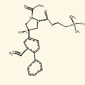 C=Cc1cc([C@]2(O)C[C@@H](C(=O)OC)N(C(=O)OCC[Si](C)(C)C)C2)ccc1-c1ccccc1